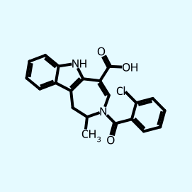 CC1Cc2c([nH]c3ccccc23)C(C(=O)O)=CN1C(=O)c1ccccc1Cl